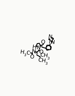 CC(=O)N[C@H](CC(C)C)C(=O)N1CCC[C@]1([CH]c1cccc(-n2cncn2)c1)C=O